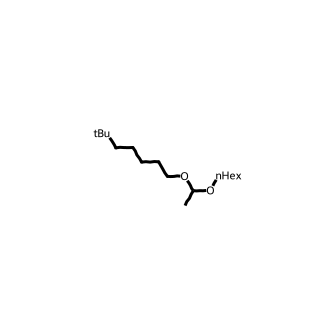 CCCCCCOC(C)OCCCCCC(C)(C)C